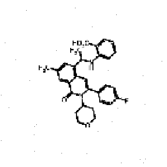 Cc1cc(C(C)Nc2ccccc2C(=O)O)c2cc(-c3ccc(F)cc3)n(C3CCOCC3)c(=O)c2c1